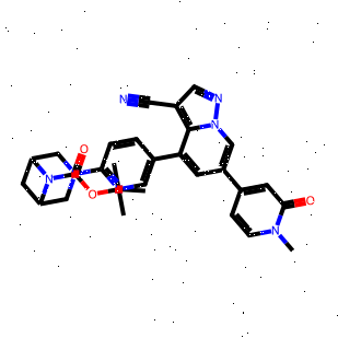 Cn1ccc(-c2cc(-c3ccc(N4CC5CC(C4)N5C(=O)OC(C)(C)C)nc3)c3c(C#N)cnn3c2)cc1=O